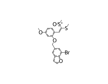 COc1ccc(C=C(SC)[S+](C)[O-])c(OCc2cc(Br)c3occc3c2)c1